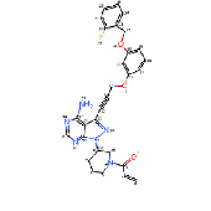 C=CC(=O)N1CCC[C@@H](n2nc(C#CCOc3cccc(OCc4ccccc4F)c3)c3c(N)ncnc32)C1